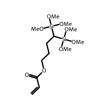 C=CC(=O)OCCCC([Si](OC)(OC)OC)[Si](OC)(OC)OC